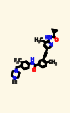 CCN1CCN(Cc2ccc(NC(=O)c3ccc(C)c(C#Cc4cnc(NC(=O)C5CC5)c(C)c4)c3)cc2C(F)(F)F)CC1